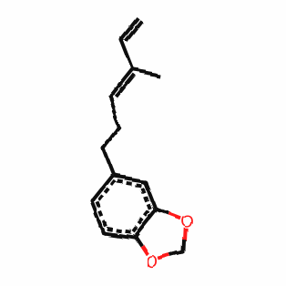 C=C/C(C)=C/CCc1ccc2c(c1)OCO2